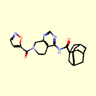 O=C(c1ccno1)N1CCc2c(ncnc2NC(=O)C23CC4CC(CC(C4)C2)C3)C1